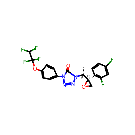 C[C@@H](n1nnn(-c2ccc(OC(F)(F)C(F)F)cc2)c1=O)[C@@]1(c2ccc(F)cc2F)CO1